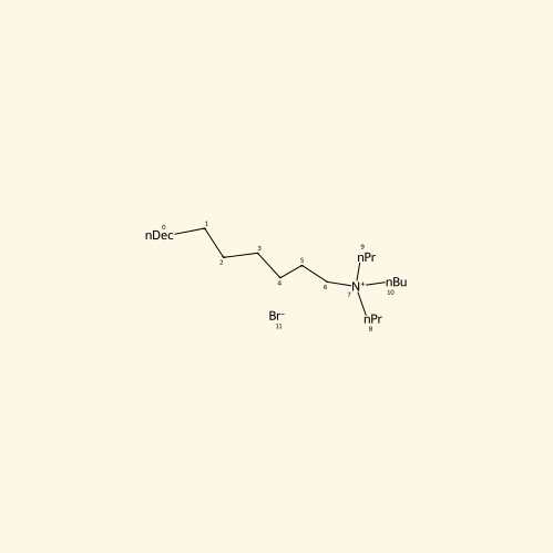 CCCCCCCCCCCCCCCC[N+](CCC)(CCC)CCCC.[Br-]